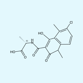 Cc1c(Cl)ccc2c1C(O)=C(C(=O)N[C@@H](C)C(=O)O)C(=O)C2C